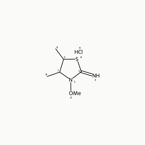 CON1C(=N)SC(C)C1C.Cl